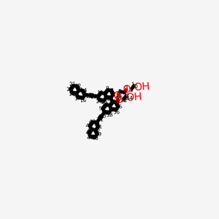 OCCOCCOc1ccc2cc(C#Cc3ccc4ccccc4c3)ccc2c1-c1c(OCCO)ccc2cc(C#Cc3ccc4ccccc4c3)ccc12